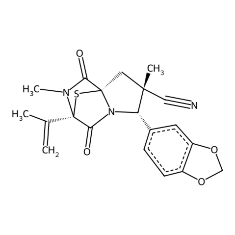 C=C(C)[C@]12S[C@@]3(C[C@](C)(C#N)[C@H](c4ccc5c(c4)OCO5)N3C1=O)C(=O)N2C